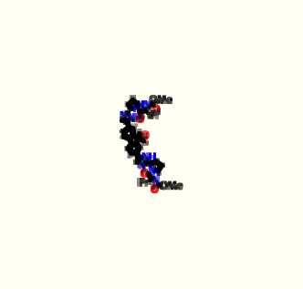 COC(=O)N[C@H](C(=O)N1CCC[C@H]1c1ncc(-c2ccc3c(c2)C2(COC2)c2cc(-c4cnc([C@@H]5CCCN5C(=O)[C@@H](NC(=O)OC)C(C)C)[nH]4)ccc2-3)[nH]1)C(C)C